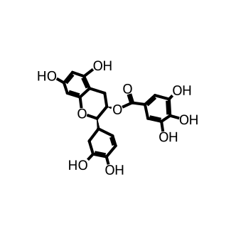 O=C(O[C@H]1Cc2c(O)cc(O)cc2O[C@@H]1C1C=CC(O)=C(O)C1)c1cc(O)c(O)c(O)c1